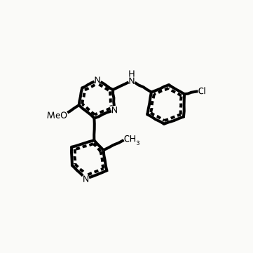 COc1cnc(Nc2cccc(Cl)c2)nc1-c1ccncc1C